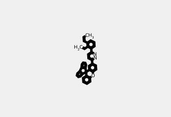 C=Cc1c(/C=C\C)cccc1-c1ccc(-c2ccc3c(c2)C2(c4ccccc4O3)c3ccccc3-c3ccccc32)nn1